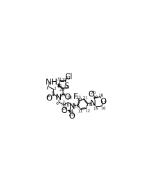 NCCC(=O)N(C[C@H]1CN(c2ccc(N3CCOCC3=O)cc2F)C(=O)O1)C(=O)c1ccc(Cl)s1